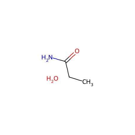 CCC(N)=O.O